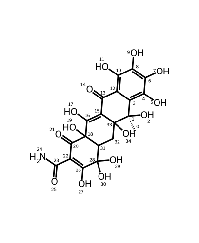 C[C@@]1(O)c2c(O)c(O)c(O)c(O)c2C(=O)C2=C(O)C3(O)C(=O)C(C(N)=O)=C(O)C(O)(O)C3CC21O